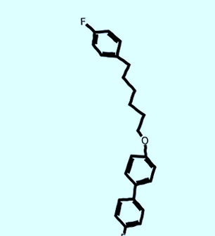 Fc1ccc(CCCCCCOc2ccc(-c3ccc(F)cc3)cc2)cc1